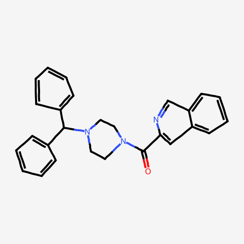 O=C(c1cc2ccccc2cn1)N1CCN(C(c2ccccc2)c2ccccc2)CC1